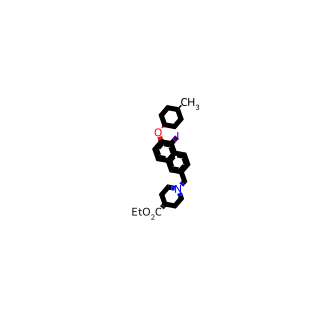 CCOC(=O)C1CCN(Cc2ccc3c(I)c(O[C@H]4CC[C@@H](C)CC4)ccc3c2)CC1